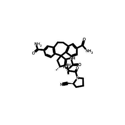 C[C@H](CC1(c2nn(C)c(=O)[nH]2)c2ccc(C(N)=O)cc2CCc2cc(C(N)=O)ccc21)NCC(=O)N1CCC[C@H]1C#N